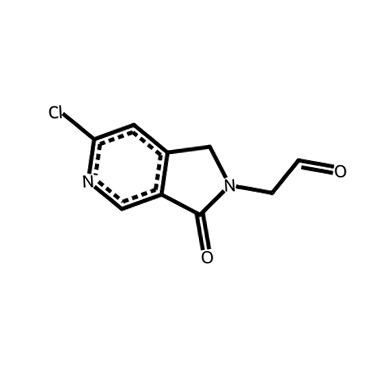 O=CCN1Cc2cc(Cl)ncc2C1=O